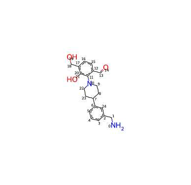 NCc1cccc(C2CCN(c3c(C=O)ccc(CO)c3O)CC2)c1